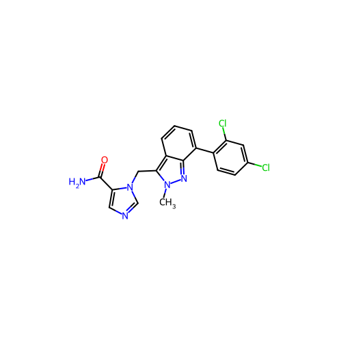 Cn1nc2c(-c3ccc(Cl)cc3Cl)cccc2c1Cn1cncc1C(N)=O